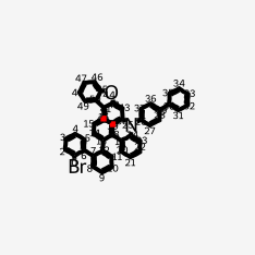 Brc1ccccc1-c1ccccc1-c1ccccc1-c1ccccc1N(c1ccc(-c2ccccc2)cc1)c1ccc2c(c1)oc1ccccc12